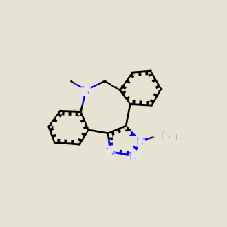 CCCCCn1nnc2c1-c1ccccc1CN(C)c1ccccc1-2